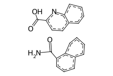 NC(=O)c1cccc2ccccc12.O=C(O)c1ccc2ccccc2n1